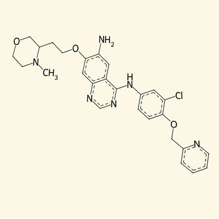 CN1CCOCC1CCOc1cc2ncnc(Nc3ccc(OCc4ccccn4)c(Cl)c3)c2cc1N